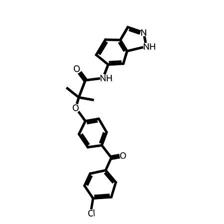 CC(C)(Oc1ccc(C(=O)c2ccc(Cl)cc2)cc1)C(=O)Nc1ccc2cn[nH]c2c1